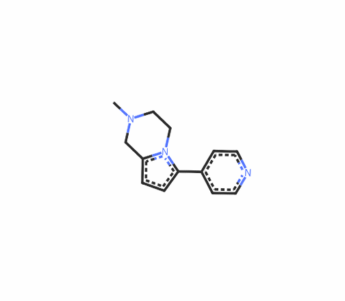 CN1CCn2c(ccc2-c2ccncc2)C1